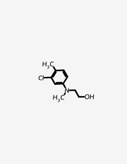 Cc1ccc(N(C)CCO)cc1Cl